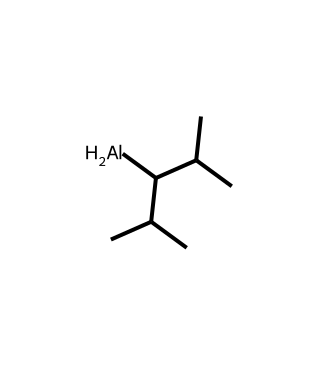 CC(C)[CH]([AlH2])C(C)C